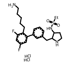 CCS(=O)(=O)NC1CCNC1Cc1cccc(-c2cc(F)cc(F)c2CCCCCN)c1.Cl.Cl